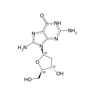 Nc1nc2c(nc(N)n2[C@H]2C[C@H](O)[C@@H](CO)O2)c(=O)[nH]1